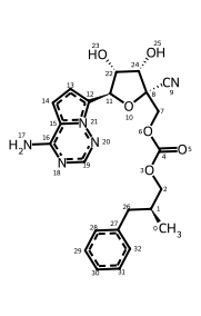 C[C@H](COC(=O)OC[C@@]1(C#N)O[C@@H](c2ccc3c(N)ncnn23)[C@H](O)[C@@H]1O)Cc1ccccc1